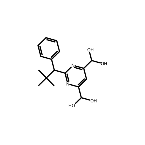 CC(C)(C)C(c1ccccc1)c1nc(C(O)O)cc(C(O)O)n1